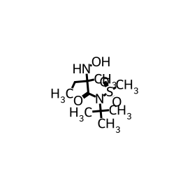 CCC(C)(NO)C(=O)N(C(C)(C)C)S(C)(=O)=O